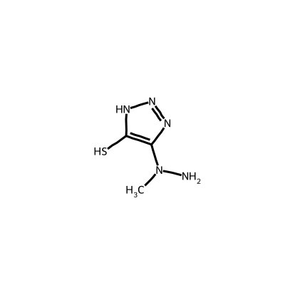 CN(N)c1nn[nH]c1S